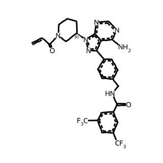 C=CC(=O)N1CCC[C@@H](n2nc(-c3ccc(CNC(=O)c4cc(C(F)(F)F)cc(C(F)(F)F)c4)cc3)c3c(N)ncnc32)C1